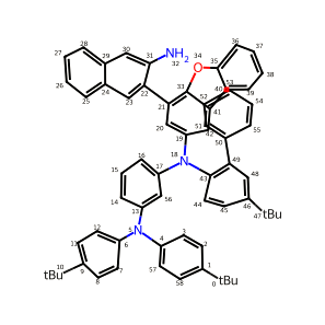 CC(C)(C)c1ccc(N(c2ccc(C(C)(C)C)cc2)c2cccc(N(c3cc(-c4cc5ccccc5cc4N)c4oc5ccccc5c4c3)c3ccc(C(C)(C)C)cc3-c3ccccc3)c2)cc1